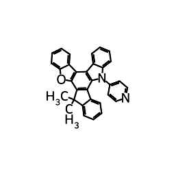 CC1(C)c2ccccc2-c2c1c1oc3ccccc3c1c1c3ccccc3n(-c3ccncc3)c21